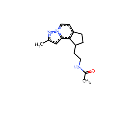 CC(=O)NCCC1CCc2ccn3nc(C)cc3c21